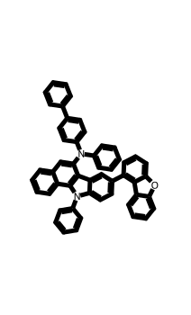 c1ccc(-c2ccc(N(c3ccccc3)c3cc4ccccc4c4c3c3cc(-c5cccc6oc7ccccc7c56)ccc3n4-c3ccccc3)cc2)cc1